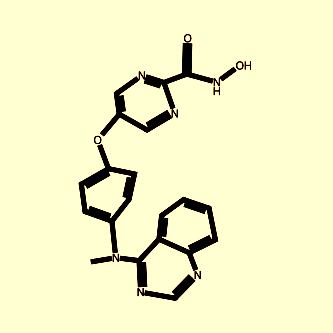 CN(c1ccc(Oc2cnc(C(=O)NO)nc2)cc1)c1ncnc2ccccc12